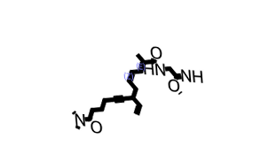 C=CC(C#CCCCC(=O)N(C)C)C/C=C\C=C(/C)C(=O)NCC(=N)OC